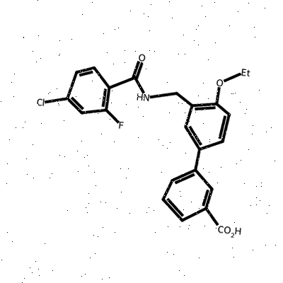 CCOc1ccc(-c2cccc(C(=O)O)c2)cc1CNC(=O)c1ccc(Cl)cc1F